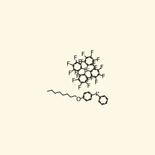 CCCCCCCCOc1ccc([I+]c2ccccc2)cc1.Fc1c(F)c(F)c([B-](c2c(F)c(F)c(F)c(F)c2F)(c2c(F)c(F)c(F)c(F)c2F)c2c(F)c(F)c(F)c(F)c2F)c(F)c1F